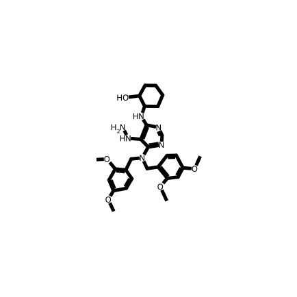 COc1ccc(CN(Cc2ccc(OC)cc2OC)c2ncnc(NC3CCCCC3O)c2NN)c(OC)c1